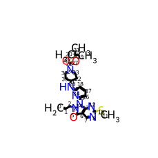 C=CCn1c(=O)c2cnc(SC)nc2n1-c1cccc(NC2CCN(C(=O)OC(C)(C)C)CC2)n1